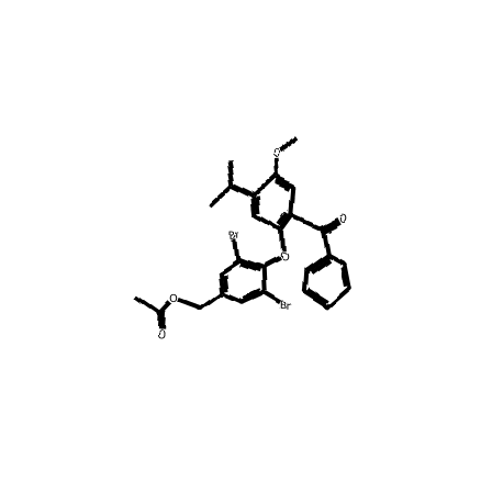 COc1cc(C(=O)c2ccccc2)c(Oc2c(Br)cc(COC(C)=O)cc2Br)cc1C(C)C